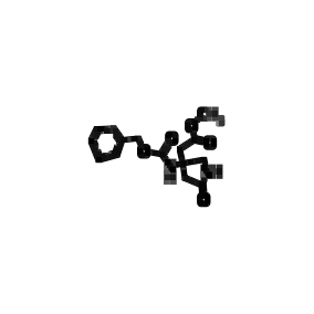 COC(=O)CC1(NC(=O)OCc2ccccc2)CNC(=O)C1